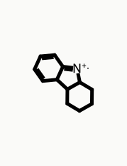 C1=CC2=[N+]C3CCCCC3C2C=C1